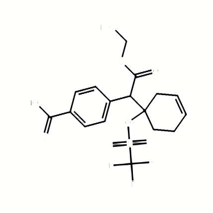 CCOC(=O)C(c1ccc(C(=O)O)cc1)C1(OS(=O)(=O)C(F)(F)F)CC=CCC1